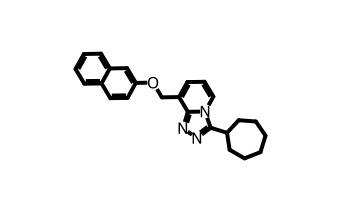 c1ccc2cc(OCc3cccn4c(C5CCCCCC5)nnc34)ccc2c1